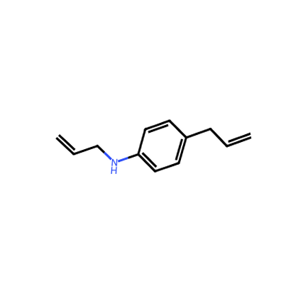 C=CCNc1ccc(CC=C)cc1